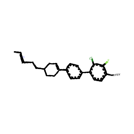 C/C=C/CCC1CC=C(c2ccc(-c3ccc(CCCCCC)c(F)c3Cl)cc2)CC1